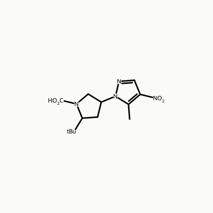 Cc1c([N+](=O)[O-])cnn1C1CC(C(C)(C)C)N(C(=O)O)C1